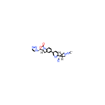 [C-]#[N+]N1C[C@@H]2[C@H](C1)[C@@]2(C#N)c1ccc(-c2ccc3c(c2)C[C@H]2[C@H](Cn4ccnn4)OC(=O)N32)cn1